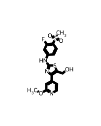 COc1cc(-c2nc(Nc3ccc(S(C)(=O)=O)c(F)c3)sc2CO)ccn1